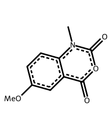 COc1ccc2c(c1)c(=O)oc(=O)n2C